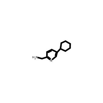 NCc1ccc(C2CCCCC2)cn1